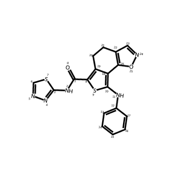 O=C(Nc1nncs1)c1sc(Nc2ccccc2)c2c1CCc1cnoc1-2